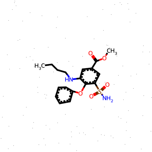 CCCCNc1cc(C(=O)OC)cc(S(N)(=O)=O)c1Oc1ccccc1